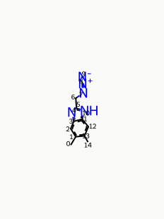 Cc1cc2nc(CN=[N+]=[N-])[nH]c2cc1C